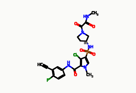 C#Cc1cc(NC(=O)c2c(Cl)c(S(=O)(=O)N[C@@H]3CCN(C(=O)C(=O)NC)C3)cn2C)ccc1F